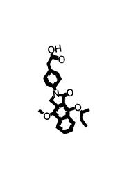 CCC(C)Oc1c2c(c(OC)c3ccccc13)CN(c1ccc(CC(=O)O)cc1)C2=O